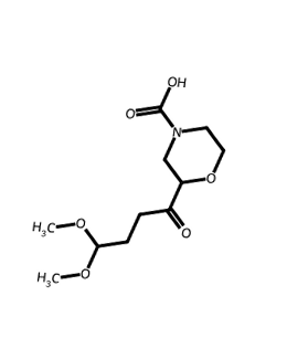 COC(CCC(=O)C1CN(C(=O)O)CCO1)OC